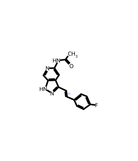 CC(=O)Nc1cc2c(/C=C/c3ccc(F)cc3)n[nH]c2cn1